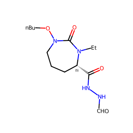 CCCCON1CCC[C@@H](C(=O)NNC=O)N(CC)C1=O